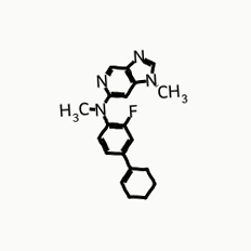 CN(c1cc2c(cn1)ncn2C)c1ccc(C2=CCCCC2)cc1F